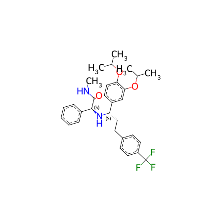 CNC(=O)[C@@H](N[C@@H](CCc1ccc(C(F)(F)F)cc1)c1ccc(OC(C)C)c(OC(C)C)c1)c1ccccc1